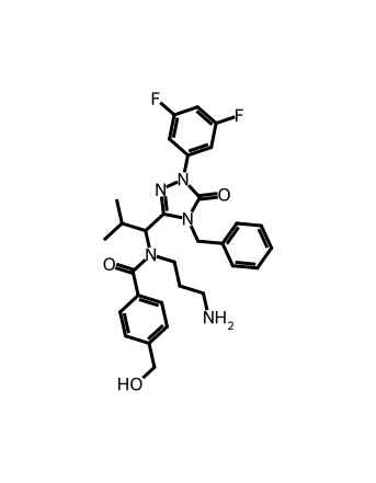 CC(C)C(c1nn(-c2cc(F)cc(F)c2)c(=O)n1Cc1ccccc1)N(CCCN)C(=O)c1ccc(CO)cc1